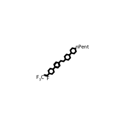 CCCCCC1CCC(C2CCC(CCc3ccc(C4CCC(/C(F)=C/C(F)(F)F)CC4)cc3)CC2)CC1